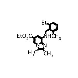 CCOC(=O)c1cc(NCc2c(C)cccc2CC)c2nc(C)c(C)n2c1